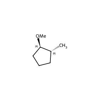 CO[C@@H]1CCC[C@H]1C